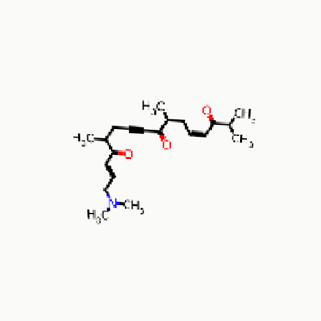 CC(C)C(=O)/C=C\CC(C)C(=O)C#CCC(C)C(=O)/C=C/CN(C)C